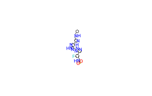 CS(=O)(=O)NCc1cc(F)cc(-c2ccnc3[nH]c(-c4n[nH]c5ncc(-c6cncc(CNCC7CCCC7)c6)cc45)nc23)c1